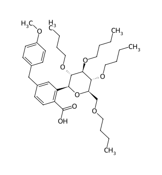 CCCCOC[C@H]1O[C@@H](c2cc(Cc3ccc(OC)cc3)ccc2C(=O)O)[C@H](OCCCC)[C@@H](OCCCC)[C@@H]1OCCCC